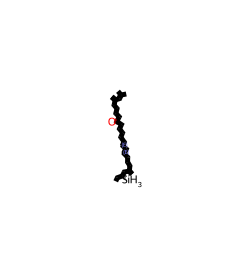 C=C(C=C(C)C)CCCCC(=O)CCCC/C=C/C=C/CCCC(=C)C[C@H]([SiH3])CC